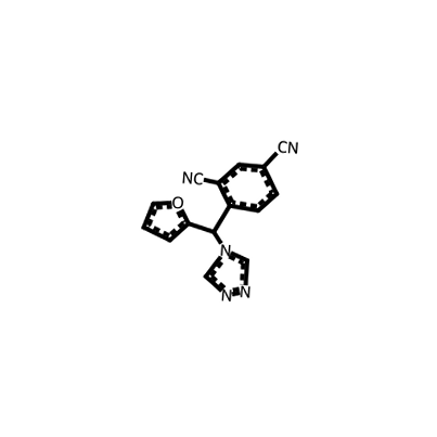 N#Cc1ccc(C(c2ccco2)n2cnnc2)c(C#N)c1